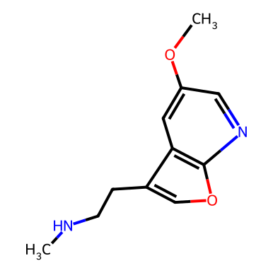 CNCCc1coc2ncc(OC)cc12